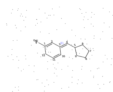 FC1=C/C(=C/C2CCCC2)C=C[CH]1